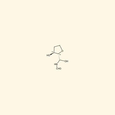 O=CNC(O)[C@H]1OCC[C@@H]1O